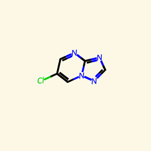 Clc1cnc2ncnn2c1